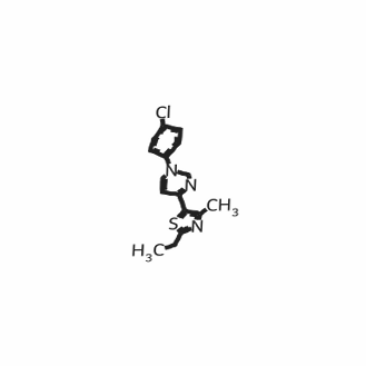 CCc1nc(C)c(C2=NCN(c3ccc(Cl)cc3)C=C2)s1